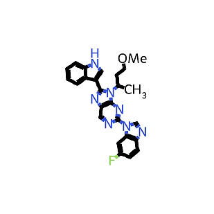 COCCC(C)n1c(-c2c[nH]c3ccccc23)nc2cnc(-n3cnc4ccc(F)cc43)nc21